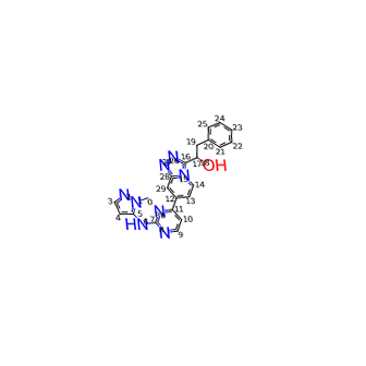 Cn1nccc1Nc1nccc(-c2ccn3c(C(O)Cc4ccccc4)nnc3c2)n1